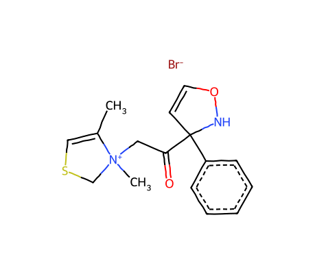 CC1=CSC[N+]1(C)CC(=O)C1(c2ccccc2)C=CON1.[Br-]